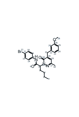 CCCCC(C(=O)Nc1ccc(Br)cc1)n1nc(C)cc(Cc2cccc(OC)c2)c1=O